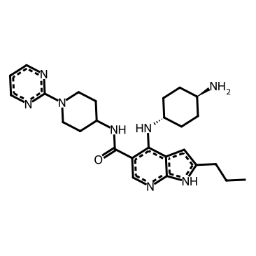 CCCc1cc2c(N[C@H]3CC[C@H](N)CC3)c(C(=O)NC3CCN(c4ncccn4)CC3)cnc2[nH]1